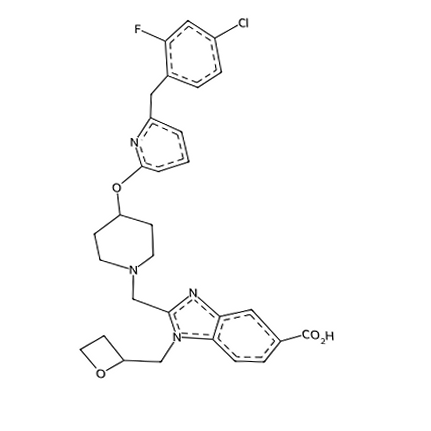 O=C(O)c1ccc2c(c1)nc(CN1CCC(Oc3cccc(Cc4ccc(Cl)cc4F)n3)CC1)n2CC1CCO1